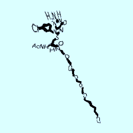 CC(=O)N[C@@H](CSc1nc2c(=O)[nH]c(N)nc2n1Cc1cccc(Cl)c1)C(=O)NCCOCCOCCOCCOCCOCCCCCCCl